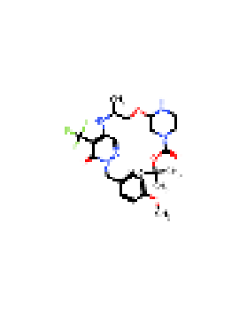 COc1ccc(Cn2ncc(NC(C)COC3CN(C(=O)OC(C)(C)C)CCN3)c(C(F)(F)F)c2=O)cc1